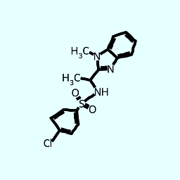 CC(NS(=O)(=O)c1ccc(Cl)cc1)c1nc2ccccc2n1C